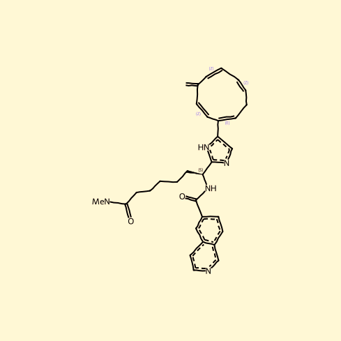 C=C1/C=C\C=C/C/C=C(c2cnc([C@H](CCCCCC(=O)NC)NC(=O)c3ccc4cnccc4c3)[nH]2)\C=C/1